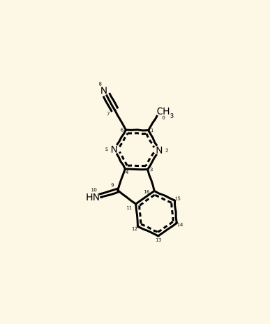 Cc1nc2c(nc1C#N)C(=N)c1ccccc1-2